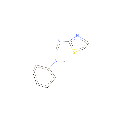 CN(/C=N\c1nccs1)c1ccccc1